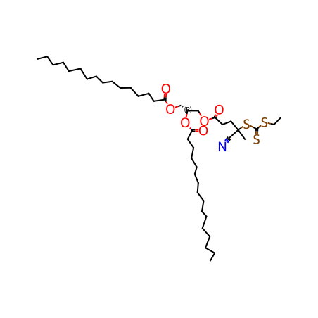 CCCCCCCCCCCCCCCC(=O)OC[C@H](COC(=O)CCC(C)(C#N)SC(=S)SCC)OC(=O)CCCCCCCCCCCCCCC